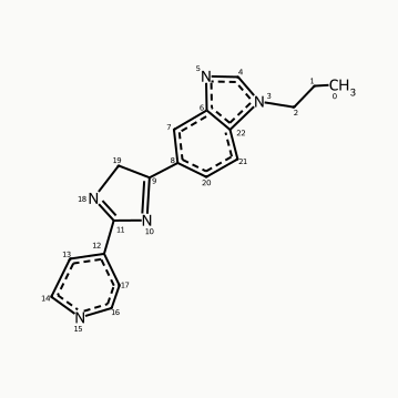 CCCn1cnc2cc(C3=NC(c4ccncc4)=NC3)ccc21